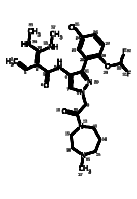 C=CC(C(=O)Nc1cn(CC(=O)N2CCCN(C)CC2)nc1-c1cc(Cl)ccc1OC(F)F)=C(NC)NC